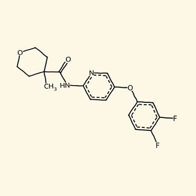 CC1(C(=O)Nc2ccc(Oc3ccc(F)c(F)c3)cn2)CCOCC1